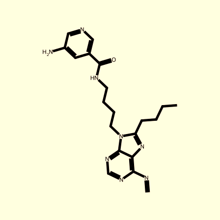 C=Nc1ncnc2c1nc(CCCC)n2CCCCNC(=O)c1cncc(N)c1